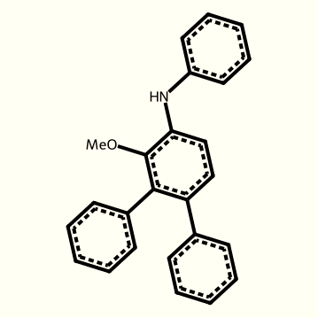 COc1c(Nc2ccccc2)ccc(-c2ccccc2)c1-c1ccccc1